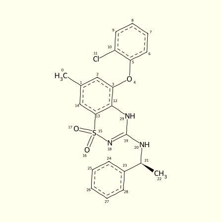 Cc1cc(Oc2ccccc2Cl)c2c(c1)S(=O)(=O)N=C(N[C@@H](C)c1ccccc1)N2